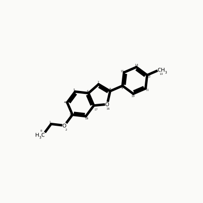 CCOc1ccc2cc(-c3ccc(C)cc3)oc2c1